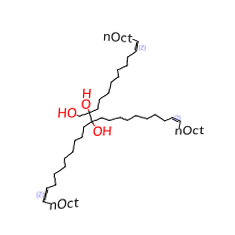 CCCCCCCC/C=C\CCCCCCCCC(O)(CO)C(O)(CCCCCCCC/C=C\CCCCCCCC)CCCCCCCC/C=C\CCCCCCCC